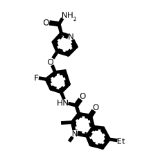 CCc1ccc2c(c1)c(=O)c(C(=O)Nc1ccc(Oc3ccnc(C(N)=O)c3)c(F)c1)c(C)n2C